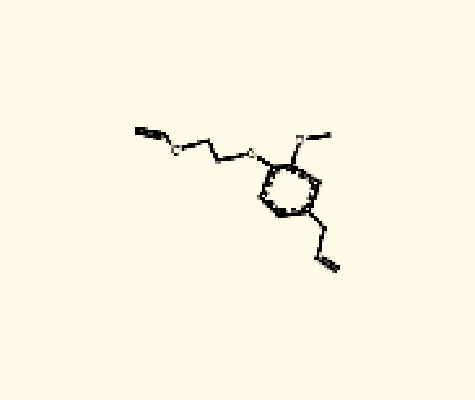 C=CCc1ccc(OCCOC=C)c(OC)c1